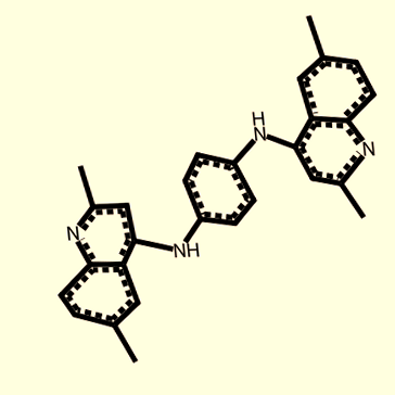 Cc1ccc2nc(C)cc(Nc3ccc(Nc4cc(C)nc5ccc(C)cc45)cc3)c2c1